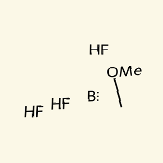 COC.F.F.F.[B]